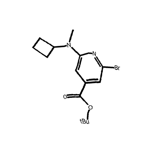 CN(c1cc(C(=O)OC(C)(C)C)cc(Br)n1)C1CCC1